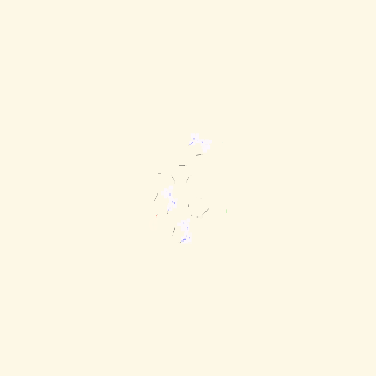 Cc1cc(-c2nn(-c3ccc(-c4cnn(C(F)F)c4)cc3C)ccc2=O)n(-c2cccc(Cl)c2)n1